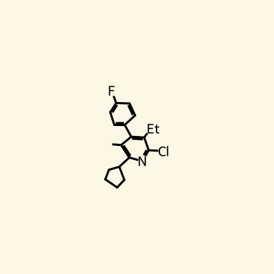 CCc1c(Cl)nc(C2CCCC2)c(C)c1-c1ccc(F)cc1